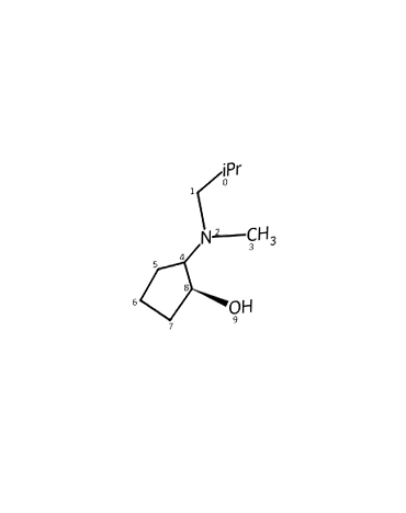 CC(C)CN(C)C1CCC[C@@H]1O